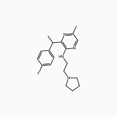 Cc1cnc(NCCN2CCCC2)c(C(C)c2ccc(F)cc2)n1